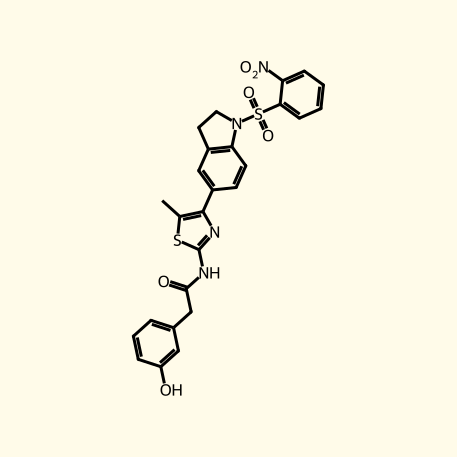 Cc1sc(NC(=O)Cc2cccc(O)c2)nc1-c1ccc2c(c1)CCN2S(=O)(=O)c1ccccc1[N+](=O)[O-]